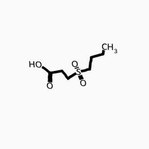 CCCCS(=O)(=O)CCC(=O)O